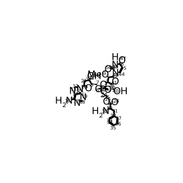 CO[C@H]1C(OP(=O)(OC[C@H]2O[C@@H](n3cnc4c(N)ncnc43)CC2O)SCOC(=O)C(N)Cc2ccccc2)[C@@H](CO)O[C@H]1n1ccc(=O)[nH]c1=O